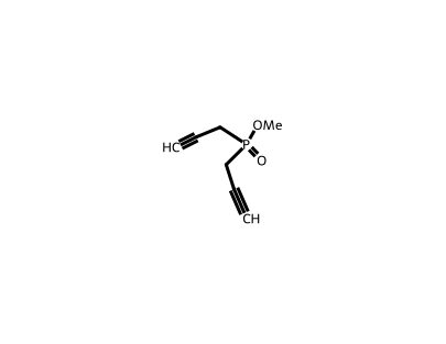 C#CCP(=O)(CC#C)OC